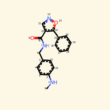 CNc1ccc(CNC(=O)c2cnoc2-c2ccccc2)cc1